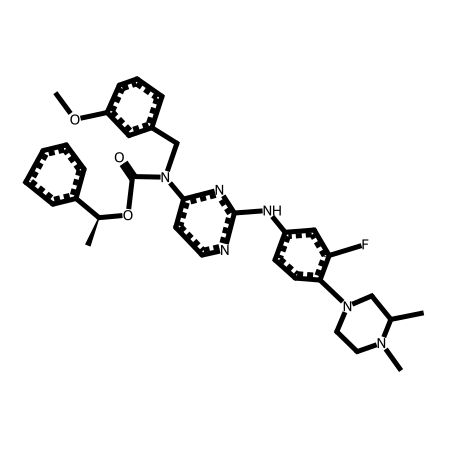 COc1cccc(CN(C(=O)O[C@@H](C)c2ccccc2)c2ccnc(Nc3ccc(N4CCN(C)C(C)C4)c(F)c3)n2)c1